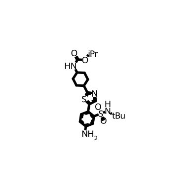 CC(C)OC(=O)NC1CCC(c2ncc(-c3ccc(N)cc3S(=O)(=O)NC(C)(C)C)s2)CC1